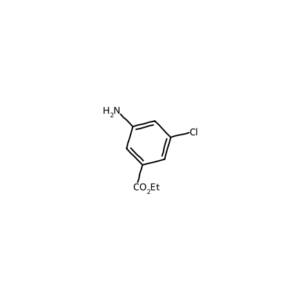 CCOC(=O)c1cc(N)cc(Cl)c1